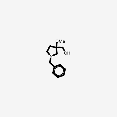 COC1(CO)CCN(Cc2ccccc2)C1